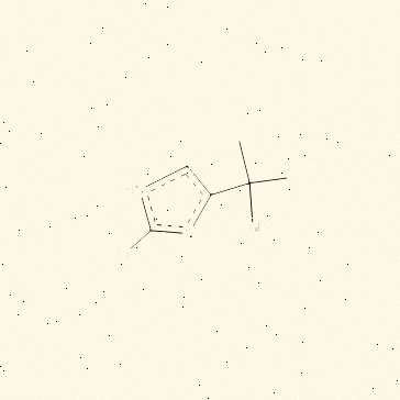 CCCCCC(C)(C)c1c[nH]c(C(C)CC)n1